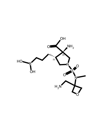 CN(C1(CN)COC1)S(=O)(=O)N1C[C@H](CCCB(O)O)[C@](N)(C(=O)O)C1